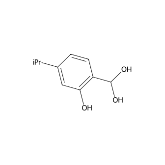 CC(C)c1ccc(C(O)O)c(O)c1